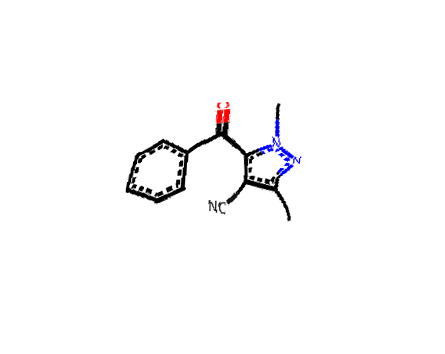 Cc1nn(C)c(C(=O)c2ccccc2)c1C#N